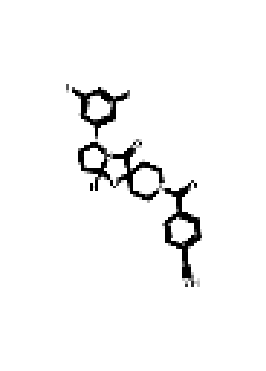 C#Cc1ccc(C(=O)N2CCC3(CC2)O[C@@H]2CC[C@@H](c4cc(F)cc(F)c4)N2C3=O)cc1